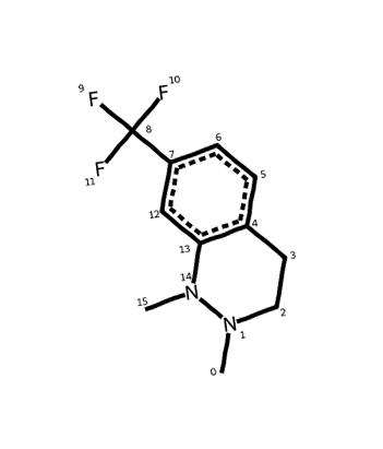 CN1CCc2ccc(C(F)(F)F)cc2N1C